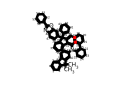 CC1(C)c2ccccc2-c2ccc(N(C3=C(c4ccccc4)CCC=C3)c3cccc4c3-c3ccccc3C4(c3ccccc3)c3ccc4nc(C5=CCCC=C5)oc4c3)cc21